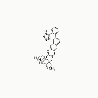 CCOC(=O)N(Cc1ccc2cc(-c3ccccc3-c3nnn[nH]3)ccc2c1)CC(CC)(CC)C(=O)O